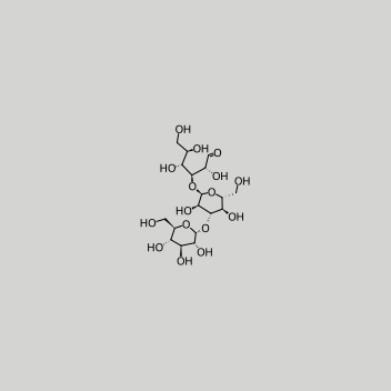 O=C[C@H](O)[C@@H](O[C@H]1O[C@H](CO)[C@@H](O)[C@H](O[C@H]2O[C@H](CO)[C@@H](O)[C@H](O)[C@H]2O)[C@H]1O)[C@H](O)[C@H](O)CO